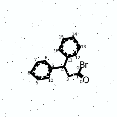 O=C(Br)CC(c1ccccc1)c1ccccc1